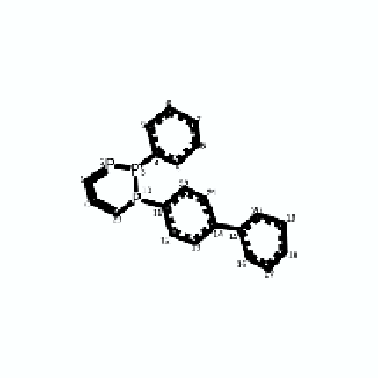 C1=C=PP(c2ccccc2)P(c2ccc(-c3ccccc3)cc2)C=1